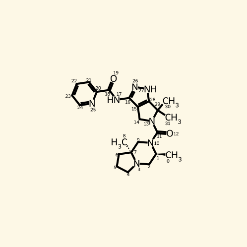 C[C@H]1CN2CCC[C@@]2(C)CN1C(=O)N1Cc2c(NC(=O)c3ccccn3)n[nH]c2C1(C)C